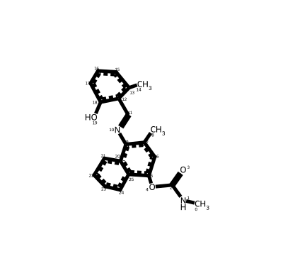 CNC(=O)Oc1cc(C)c(/N=C/c2c(C)cccc2O)c2ccccc12